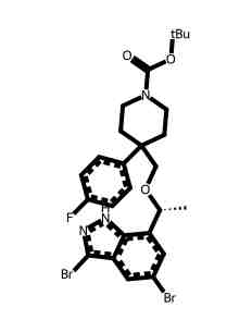 C[C@@H](OCC1(c2ccc(F)cc2)CCN(C(=O)OC(C)(C)C)CC1)c1cc(Br)cc2c(Br)n[nH]c12